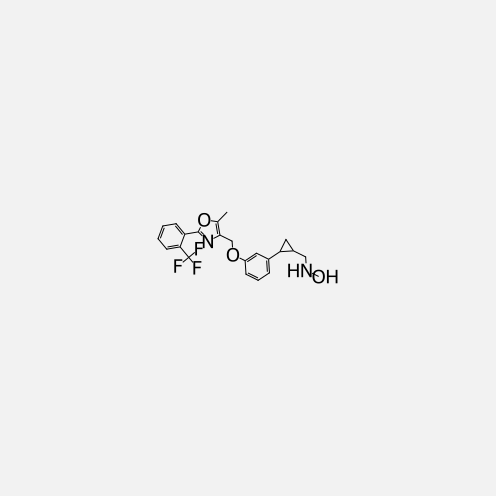 Cc1oc(-c2ccccc2C(F)(F)F)nc1COc1cccc(C2CC2CNO)c1